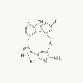 CCn1ncc2c1-c1cnc(N)c(c1)OCc1cc(F)ccc1-c1c(ccnc1C#N)C2